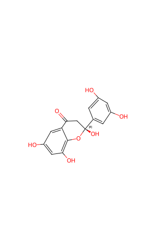 O=C1C[C@](O)(c2cc(O)cc(O)c2)Oc2c(O)cc(O)cc21